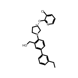 CCc1[c]ccc(-c2ccc(N3CC[C@H](Oc4ncccc4Cl)C3)c(CO)c2)c1